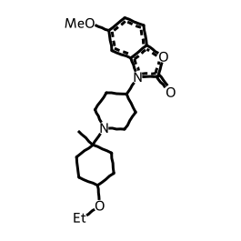 CCOC1CCC(C)(N2CCC(n3c(=O)oc4ccc(OC)cc43)CC2)CC1